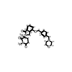 [2H]N1C(=O)CCC([2H])(N2Cc3c(OCc4ccc(CN5CCOCC5)cc4)cccc3C2=O)C1=O